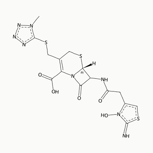 Cn1nnnc1SCC1=C(C(=O)O)N2C(=O)C(NC(=O)Cc3csc(=N)n3O)[C@H]2SC1